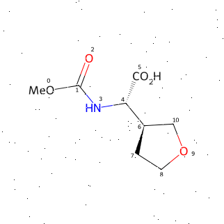 COC(=O)N[C@H](C(=O)O)[C@@H]1CCOC1